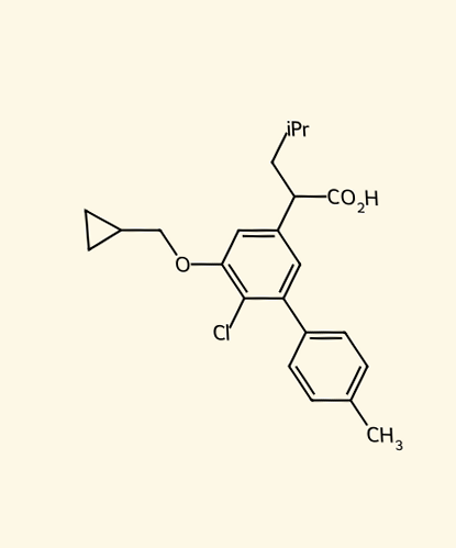 Cc1ccc(-c2cc(C(CC(C)C)C(=O)O)cc(OCC3CC3)c2Cl)cc1